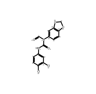 O=CN(C(=O)Nc1ccc(Cl)c(Cl)c1)c1ccc2c(c1)OCO2